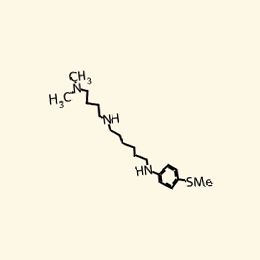 CSc1ccc(NCCCCCCNCCCCN(C)C)cc1